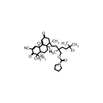 CCC(C)(C)CC[C@@](C)(CC[C@]1(C)CC(=O)C=C2[C@@]3(C)C=C(C#N)C(=O)C(C)(C)[C@@H]3CC[C@]21C)COC(=O)N1CCCC1